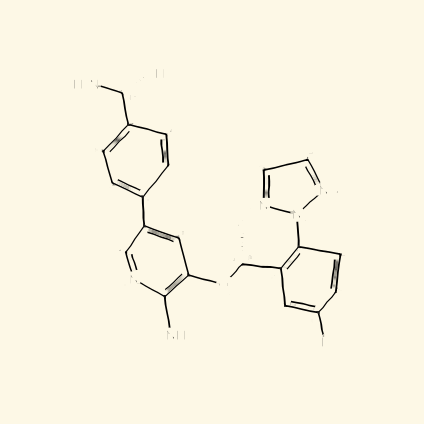 C[C@@H](N)c1ccc(-c2cnc(N)c(O[C@H](C)c3cc(F)ccc3-n3nccn3)c2)cc1